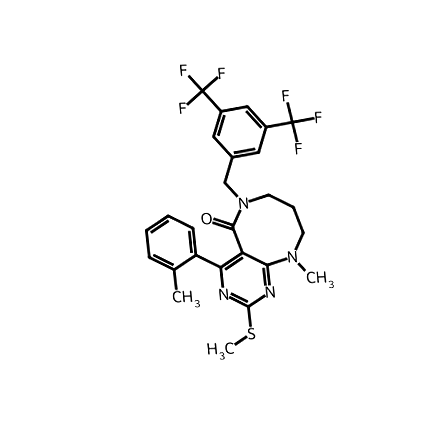 CSc1nc(-c2ccccc2C)c2c(n1)N(C)CCCN(Cc1cc(C(F)(F)F)cc(C(F)(F)F)c1)C2=O